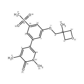 Cc1cc(-c2cc(OCC3(C)COC3)cc(S(C)(=O)=O)c2)cn(C)c1=O